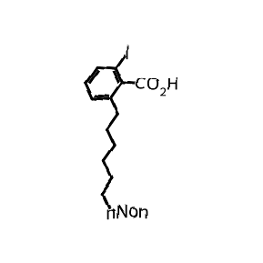 CCCCCCCCCCCCCCCc1cccc(I)c1C(=O)O